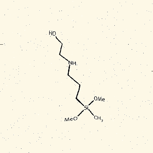 CO[Si](C)(CCCNCCO)OC